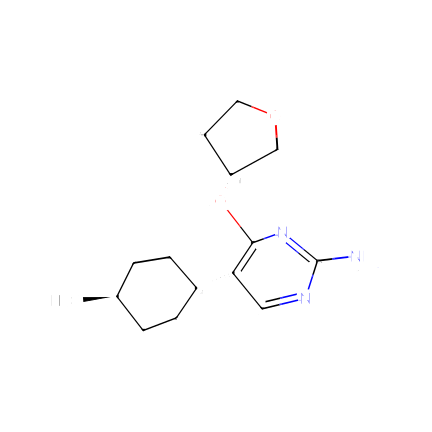 C[C@H]1CC[C@H](c2cnc(N)nc2O[C@@H]2CCOC2)CC1